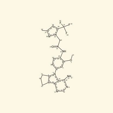 COc1cc(-n2c3c(c4ncnc(N)c42)CCC3)ccc1NC(=O)Cn1nc(C)cc1C(F)(F)F